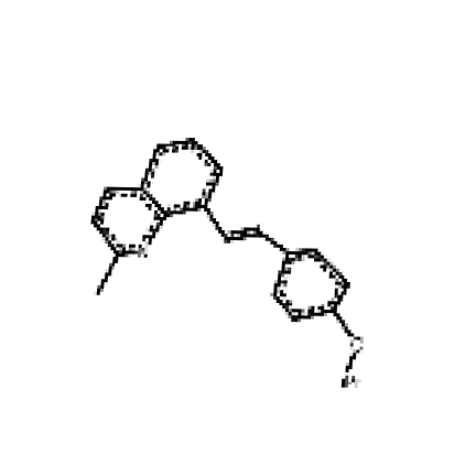 Cc1ccc2cccc(/C=C/c3ccc(OC(C)C)cc3)c2n1